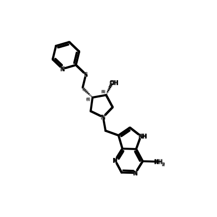 Nc1ncnc2c(CN3C[C@H](CSc4ccccn4)[C@H](O)C3)c[nH]c12